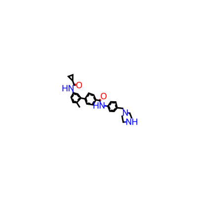 Cc1ccc(NC(=O)C2CC2)cc1-c1ccc(C(=O)Nc2ccc(CN3CCNCC3)cc2)cc1